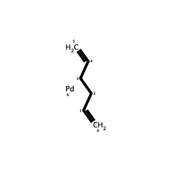 C=CCCC=C.[Pd]